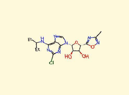 CCC(CC)Nc1nc(Cl)nc2c1ncn2[C@@H]1O[C@H](c2nc(C)no2)[C@@H](O)[C@H]1O